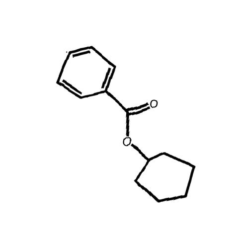 O=C(OC1CCCCC1)c1cc[c]cc1